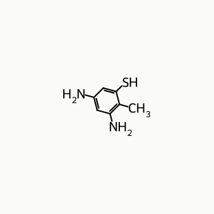 Cc1c(N)cc(N)cc1S